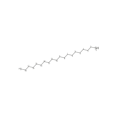 SCCCCCCCCCCCCCCCCCCI